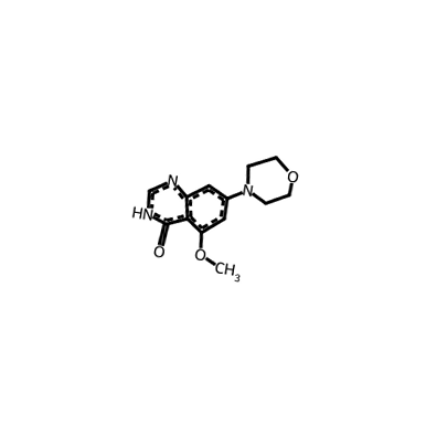 COc1cc(N2CCOCC2)cc2nc[nH]c(=O)c12